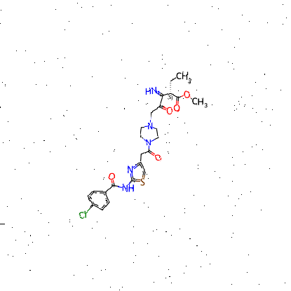 CC[C@@H](C(=N)C(=O)CN1CCN(C(=O)Cc2csc(NC(=O)c3ccc(Cl)cc3)n2)CC1)C(=O)OC